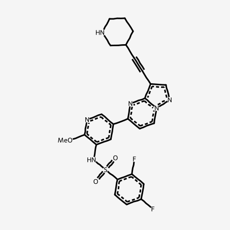 COc1ncc(-c2ccn3ncc(C#CC4CCCNC4)c3n2)cc1NS(=O)(=O)c1ccc(F)cc1F